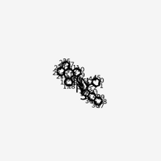 c1ccc(-c2nc(-n3c4cccc5c4c4c(cccc43)-c3cccc4cccc-5c34)nc3sc4cc5ccccc5cc4c23)cc1